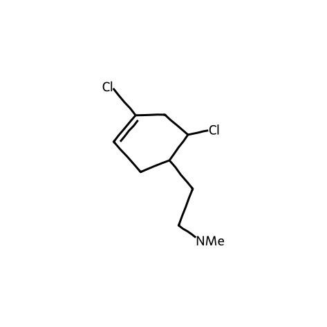 CNCCC1CC=C(Cl)CC1Cl